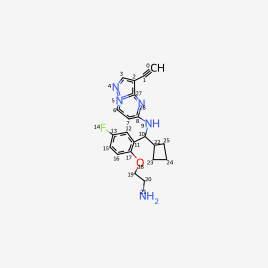 C#Cc1cnn2ccc(NC(c3cc(F)ccc3OCCN)C3CCC3)nc12